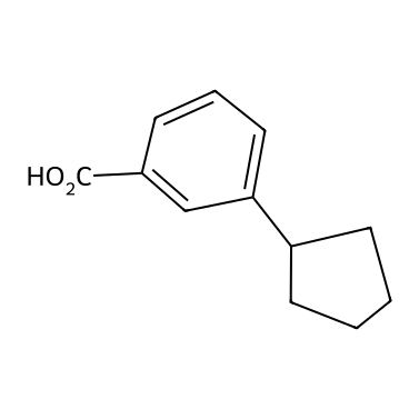 O=C(O)c1cccc(C2CCCC2)c1